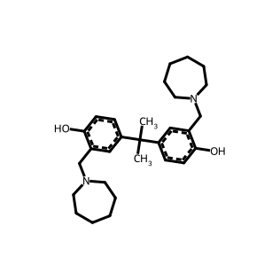 CC(C)(c1ccc(O)c(CN2CCCCCC2)c1)c1ccc(O)c(CN2CCCCCC2)c1